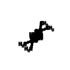 CCCCCCN(CCCCCC)c1c2ccccc2c(C2C(O)C(c3c4ccccc4c(N(CCCCCC)CCCCCC)c4cccc(O)c34)C2O)c2c(O)cccc12